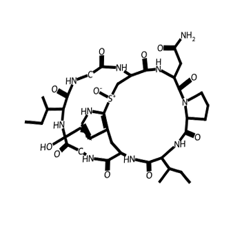 CCC(C)C1NC(=O)CNC(=O)C2Cc3c([nH]c4cc(O)ccc34)[S+]([O-])CC(NC(=O)CNC1=O)C(=O)NC(CC(N)=O)C(=O)N1CCCC1C(=O)NC(C(C)CC)C(=O)N2